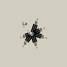 [B]#[La](#[B])(#[B])(#[B])(#[B])#[B].[La]